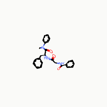 CN(C(=O)[C@H](Cc1ccccc1)NC(=O)CNC(=O)c1ccccc1)c1ccccc1